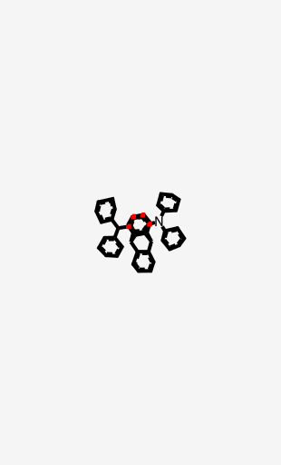 c1ccc(C(c2ccccc2)c2ccc(N(c3ccccc3)c3ccccc3)c3c2C2c4ccccc4C3c3ccccc32)cc1